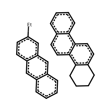 CCc1ccc2cc3ccccc3cc2c1.c1ccc2c(c1)ccc1c3c(ccc12)CCCC3